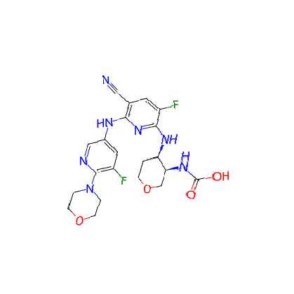 N#Cc1cc(F)c(N[C@@H]2CCOC[C@@H]2NC(=O)O)nc1Nc1cnc(N2CCOCC2)c(F)c1